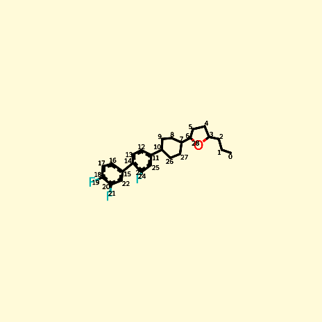 CCCC1CCC(C2CCC(c3ccc(-c4ccc(F)c(F)c4)c(F)c3)CC2)O1